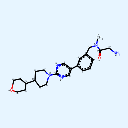 CN(Cc1cccc(-c2cnc(N3CCC(C4CCOCC4)CC3)nc2)c1)C(=O)CN